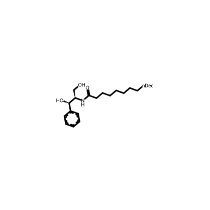 CCCCCCCCCCCCCCCCCC(=O)N[C@H](CO)[C@H](O)c1ccccc1